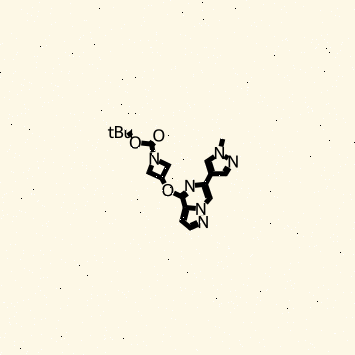 Cn1cc(-c2cn3nccc3c(OC3CN(C(=O)OC(C)(C)C)C3)n2)cn1